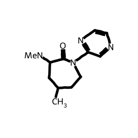 CNC1CC(C)CCN(c2cnccn2)C1=O